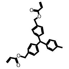 C=CC(=O)OCc1ccc(C(c2ccc(C)cc2)c2ccc(COC(=O)C=C)cc2)cc1